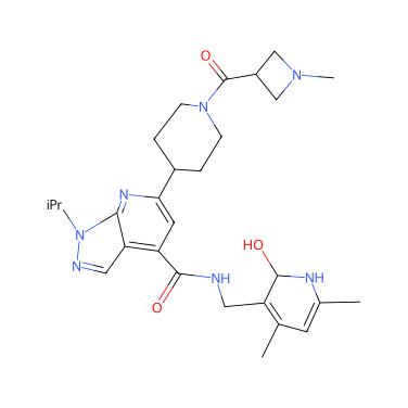 CC1=CC(C)=C(CNC(=O)c2cc(C3CCN(C(=O)C4CN(C)C4)CC3)nc3c2cnn3C(C)C)C(O)N1